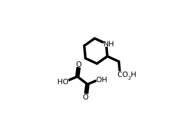 O=C(O)C(=O)O.O=C(O)CC1CCCCN1